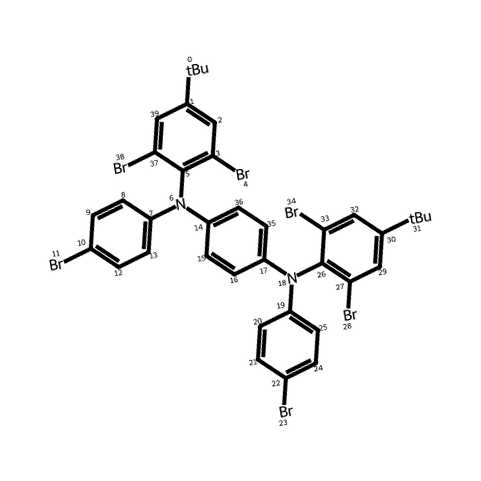 CC(C)(C)c1cc(Br)c(N(c2ccc(Br)cc2)c2ccc(N(c3ccc(Br)cc3)c3c(Br)cc(C(C)(C)C)cc3Br)cc2)c(Br)c1